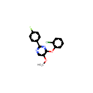 O=C(O)Oc1cnc(-c2ccc(F)cc2)nc1Oc1ccccc1Cl